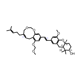 COCOc1cc(/C=C/c2cc3c(c(OC)c2)O[C@]2(C)CC[C@@H](O)C(C)(C)[C@H]2C3)cc2c1C/C=C(/CCC=C(C)C)COCO2